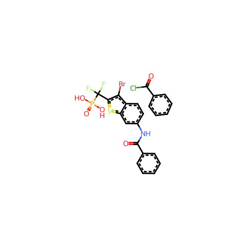 O=C(Cl)c1ccccc1.O=C(Nc1ccc2c(Br)c(C(F)(F)P(=O)(O)O)sc2c1)c1ccccc1